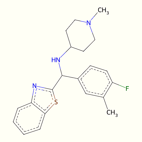 Cc1cc(C(NC2CCN(C)CC2)c2nc3ccccc3s2)ccc1F